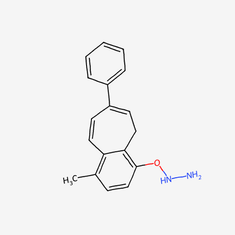 Cc1ccc(ONN)c2c1C=CC(c1ccccc1)=CC2